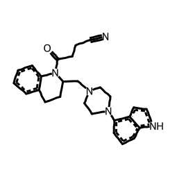 N#CCCC(=O)N1c2ccccc2CCC1CN1CCN(c2cccc3[nH]ccc23)CC1